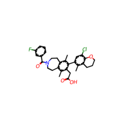 Cc1c(-c2c(C)c3c(c(C)c2CC(=O)O)CCN(C(=O)c2cccc(F)c2)CC3)cc(Cl)c2c1CCCO2